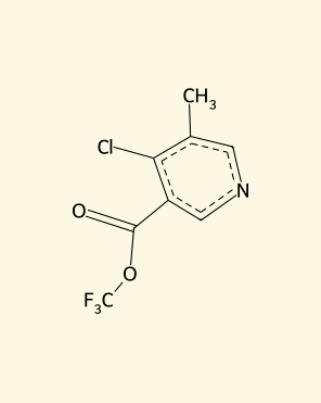 Cc1cncc(C(=O)OC(F)(F)F)c1Cl